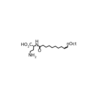 CCCCCCCC/C=C\CCCCCCCC(=O)N[C@@H](CCN)C(=O)O